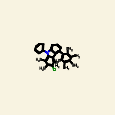 Bc1c(B)c(B)c(-c2cccc3c2c2c(B)c(Cl)c(B)c(B)c2n3-c2ccccc2)c(B)c1B